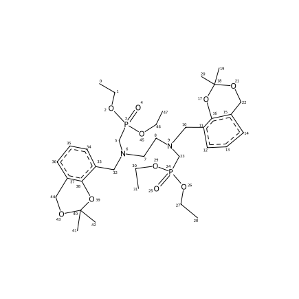 CCOP(=O)(CN(CCN(Cc1cccc2c1OC(C)(C)OC2)CP(=O)(OCC)OCC)Cc1cccc2c1OC(C)(C)OC2)OCC